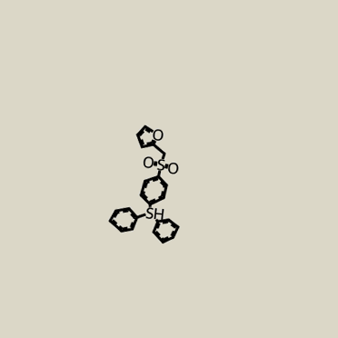 O=S(=O)(Cc1ccco1)c1ccc([SH](c2ccccc2)c2ccccc2)cc1